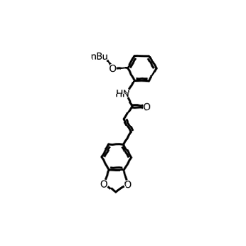 CCCCOc1ccccc1NC(=O)/C=C/c1ccc2c(c1)OCO2